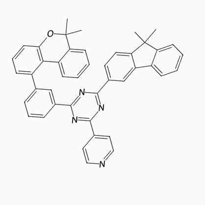 CC1(C)Oc2cccc(-c3cccc(-c4nc(-c5ccncc5)nc(-c5ccc6c(c5)-c5ccccc5C6(C)C)n4)c3)c2-c2ccccc21